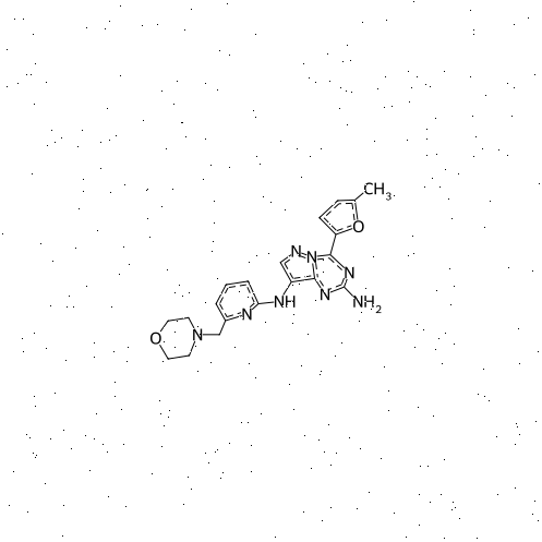 Cc1ccc(-c2nc(N)nc3c(Nc4cccc(CN5CCOCC5)n4)cnn23)o1